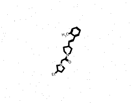 CCC1CCN(CC(=O)N2CCC(/C=C/c3ccccc3C)CC2)C1